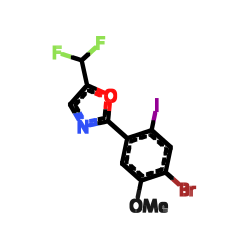 COc1cc(-c2ncc(C(F)F)o2)c(I)cc1Br